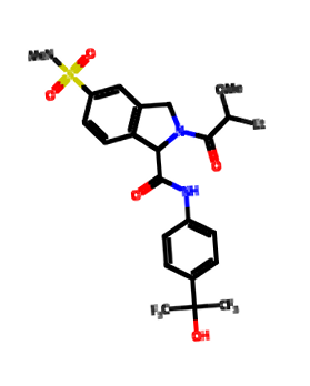 CCC(OC)C(=O)N1Cc2cc(S(=O)(=O)NC)ccc2C1C(=O)Nc1ccc(C(O)(C(F)(F)F)C(F)(F)F)cc1